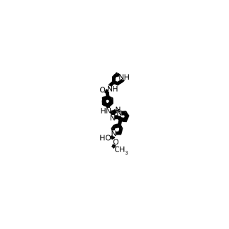 CCOC(O)N1CC=C(c2cccn3nc(Nc4ccc(C(=O)NCC5CCNCC5)cc4)nc23)CC1